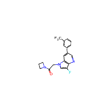 O=C(Cn1cc(F)c2ncc(-c3cccc(C(F)(F)F)c3)cc21)N1CCC1